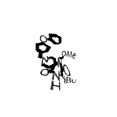 CC[C@H](C)[C@@H]1NC(=O)C2(CCN(Cc3ccc(Oc4ccccc4)cc3)CC2)N(CCOC)C1=O